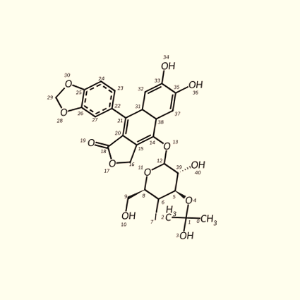 CC(C)(O)O[C@H]1C(I)[C@@H](CO)OC(OC2=C3COC(=O)C3=C(c3ccc4c(c3)OCO4)C3C=C(O)C(O)=CC23)[C@@H]1O